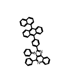 c1ccc(-c2nc3ccccc3c3nc(-c4ccc(-c5c6ccccc6c(-c6cccc7ccccc67)c6ccccc56)cc4)n(-c4ccccc4)c23)cc1